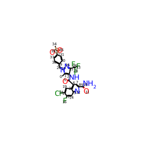 Cc1c(NC(=O)c2cc(C(N)=O)nc3cc(F)c(Cl)cc23)c(C(F)(F)F)nn1Cc1ccc(S(C)(=O)=O)cc1